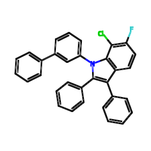 Fc1ccc2c(-c3ccccc3)c(-c3ccccc3)n(-c3cccc(-c4ccccc4)c3)c2c1Cl